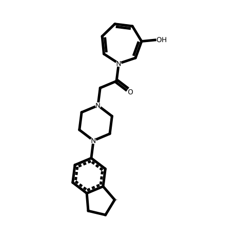 O=C(CN1CCN(c2ccc3c(c2)[CH]CC3)CC1)N1C=CC=CC(O)=C1